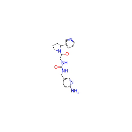 Nc1ccc(CNC(=O)NCC(=O)N2CCCC2c2cccnc2)cn1